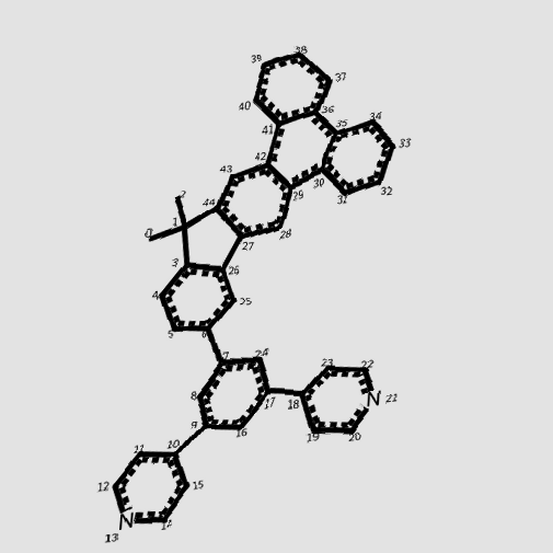 CC1(C)c2ccc(-c3cc(-c4ccncc4)cc(-c4ccncc4)c3)cc2-c2cc3c4ccccc4c4ccccc4c3cc21